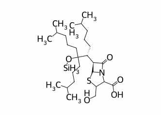 CC(C)CCC[C@H]([C@H]1C(=O)N2C(C(=O)O)C(CO)SC12)C(CCCC(C)C)(CCCC(C)C)O[SiH3]